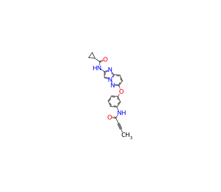 CC#CC(=O)Nc1cccc(Oc2ccc3nc(NC(=O)C4CC4)cn3n2)c1